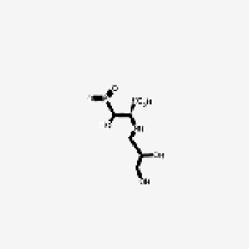 O=C(O)[C@@H](NCC(O)CO)C(O)P(=O)=O